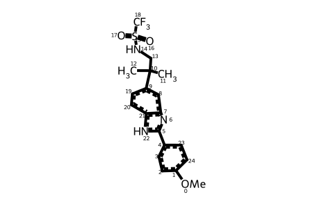 COc1ccc(-c2nc3cc(C(C)(C)CNS(=O)(=O)C(F)(F)F)ccc3[nH]2)cc1